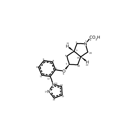 O=C(O)N1C[C@H]2C[C@H](Oc3ccccc3-n3cccn3)C[C@H]2C1